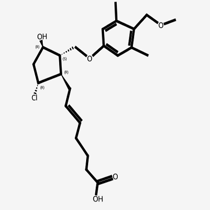 COCc1c(C)cc(OC[C@@H]2[C@@H](CC=CCCCC(=O)O)[C@H](Cl)C[C@H]2O)cc1C